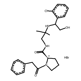 Br.CC(C)(CNC(=O)[C@H]1CCCN1C(=O)Cc1ccccc1)NC(CO)c1ccccc1Cl